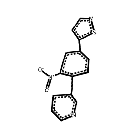 O=[N+]([O-])c1cc(-c2ccns2)ccc1-c1cccnc1